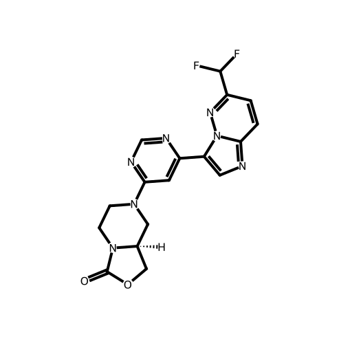 O=C1OC[C@@H]2CN(c3cc(-c4cnc5ccc(C(F)F)nn45)ncn3)CCN12